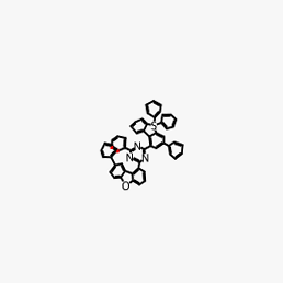 c1ccc(-c2cc(-c3nc(-c4ccccc4)nc(-c4cccc5oc6ccc(-c7ccccc7)cc6c45)n3)c3c(c2)S(c2ccccc2)(c2ccccc2)c2ccccc2-3)cc1